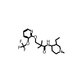 CCC1CN(C)CCC1NC(=O)C(C)(C)COc1ncccc1OC(F)(F)F